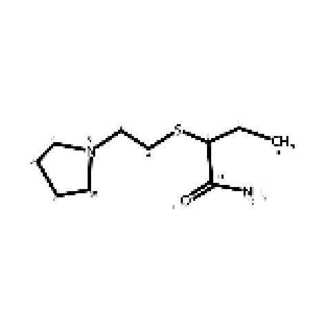 CCC(SCCN1CCCC1)C(N)=O